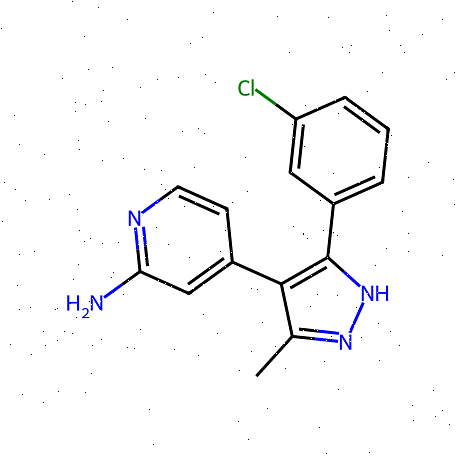 Cc1n[nH]c(-c2cccc(Cl)c2)c1-c1ccnc(N)c1